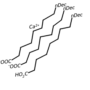 CCCCCCCCCCCCCCCCCC(=O)O.CCCCCCCCCCCCCCCCCC(=O)[O-].CCCCCCCCCCCCCCCCCC(=O)[O-].[Ca+2]